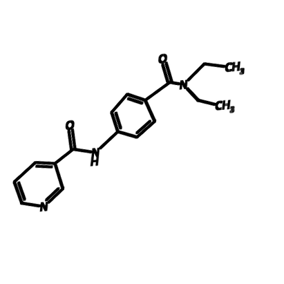 CCN(CC)C(=O)c1ccc(NC(=O)c2cccnc2)cc1